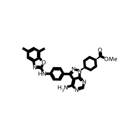 COC(=O)[C@H]1CC[C@@H](n2nc(-c3ccc(Nc4nc5cc(C)cc(C)c5o4)cc3)c3c(N)ncnc32)CC1